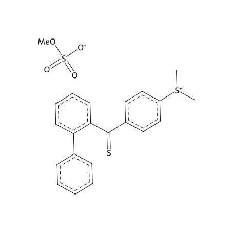 COS(=O)(=O)[O-].C[S+](C)c1ccc(C(=S)c2ccccc2-c2ccccc2)cc1